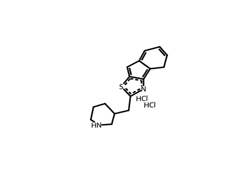 C1=CCC2=c3nc(CC4CCCNC4)sc3=CC2=C1.Cl.Cl